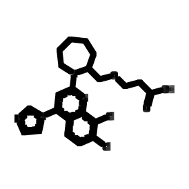 O=C(O)CCOCC1CCCCCN1c1cc(-n2ccnc2)c2ccc(Cl)c(Cl)c2n1